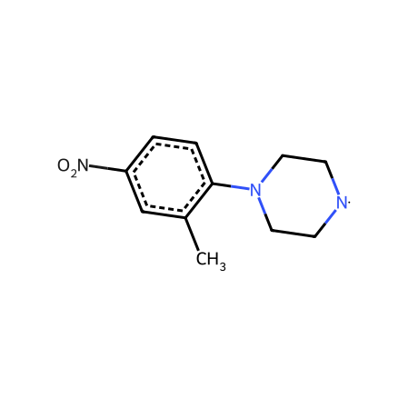 Cc1cc([N+](=O)[O-])ccc1N1CC[N]CC1